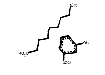 CCCCCCCCCCCCCCCCCC(=O)O.CCCCCCCCc1cccc(O)c1